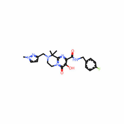 Cn1ccc(CN2CCn3c(nc(C(=O)NCc4ccc(F)cc4)c(O)c3=O)C2(C)C)n1